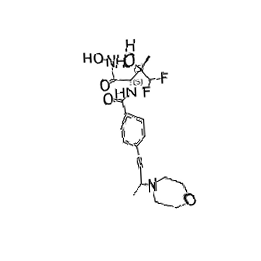 CC(C#Cc1ccc(C(=O)N[C@H](C(=O)NO)[C@](C)(O)C(F)F)cc1)N1CCOCC1